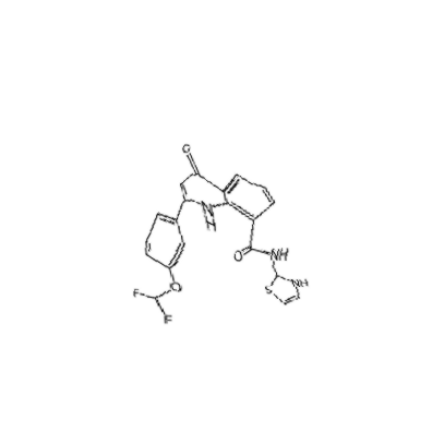 O=C(NC1NC=CS1)c1cccc2c(=O)cc(-c3cccc(OC(F)F)c3)[nH]c12